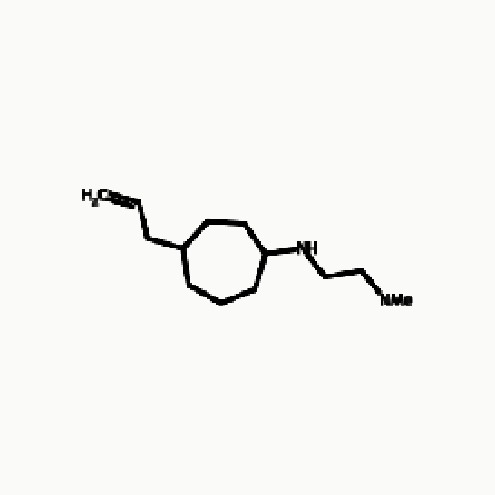 C=CCC1CCCC(NCCNC)CC1